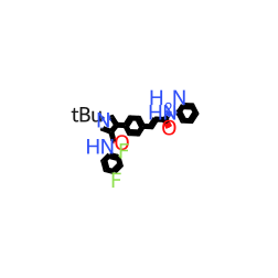 CC(C)(C)N1CC(C(=O)Nc2ccc(F)cc2F)C(c2ccc(/C=C/C(=O)Nc3ccccc3N)cc2)C1